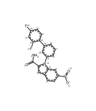 NC(=O)c1cc2ccc([N+](=O)[O-])cc2n1-c1cccc(-c2ccc(F)cc2F)c1